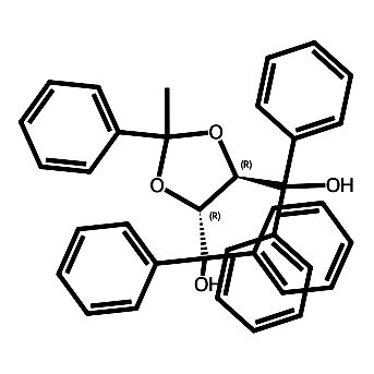 CC1(c2ccccc2)O[C@@H](C(O)(c2ccccc2)c2ccccc2)[C@H](C(O)(c2ccccc2)c2ccccc2)O1